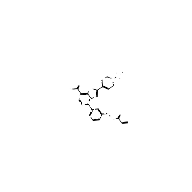 C=CC(=O)NCc1cccc(-c2ccc(C(N)=O)c3[nH]c(C4=CCN(S(C)(=O)=O)CC4)cc23)c1